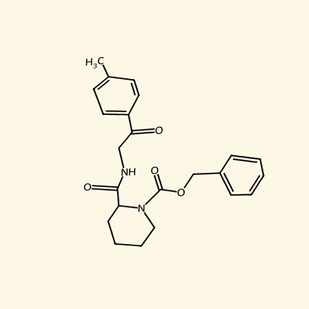 Cc1ccc(C(=O)CNC(=O)C2CCCCN2C(=O)OCc2ccccc2)cc1